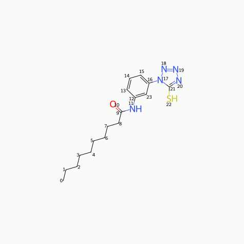 CCCCCCCCCC(=O)Nc1cccc(-n2nnnc2S)c1